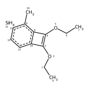 CCOC1=C(OCC)c2c(C)cccc21.[SiH4]